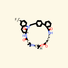 C[C@@H]1CNC(C)(C)CC(=O)N[C@@H]2CCc3cc(C(F)(F)F)ccc3N(Cc3ccc(cc3)-c3ccccc3C(=O)NCCCC(=O)O1)C2=O